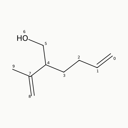 C=CCCC(CO)C(=C)C